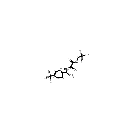 CC(NC(=O)C(=O)OCC(F)(F)F)c1ccc(C(F)(F)F)cn1